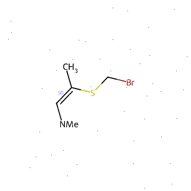 CN/C=C(/C)SCBr